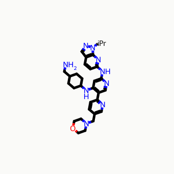 CC(C)n1ncc2ccc(Nc3cc(NC4CCC(CN)CC4)c(-c4ccc(CN5CCOCC5)cn4)cn3)nc21